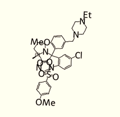 CCN1CCN(Cc2ccc(OC)c(C3(N4CCC[C@@]4(C)c4ncco4)C(=O)N(S(=O)(=O)c4ccc(OC)cc4)c4ccc(Cl)cc43)c2)CC1